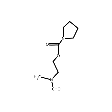 CN(C=O)CCOC(=O)N1CCCC1